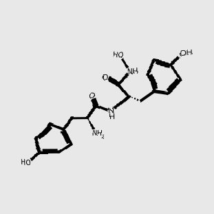 N[C@@H](Cc1ccc(O)cc1)C(=O)N[C@@H](Cc1ccc(O)cc1)C(=O)NO